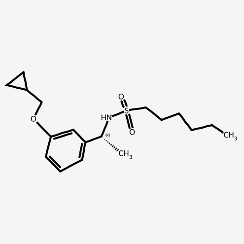 CCCCCCS(=O)(=O)N[C@H](C)c1cccc(OCC2CC2)c1